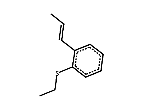 C/C=C/c1ccccc1SCC